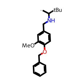 [CH2]C(NCc1ccc(OCc2ccccc2)c(OC)c1)C(C)(C)C